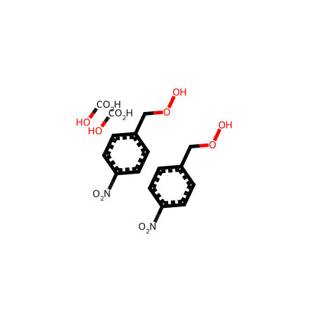 O=C(O)O.O=C(O)O.O=[N+]([O-])c1ccc(COO)cc1.O=[N+]([O-])c1ccc(COO)cc1